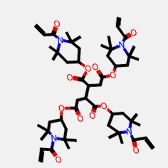 C=CC(=O)N1C(C)(C)CC(OC(=O)CC(C(=O)OC2CC(C)(C)N(C(=O)C=C)C(C)(C)C2)C(CC(=O)OC2CC(C)(C)N(C(=O)C=C)C(C)(C)C2)C(=O)OC2CC(C)(C)N(C(=O)C=C)C(C)(C)C2)CC1(C)C